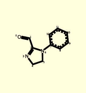 O=CC1=NCCN1c1ccccc1